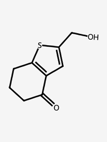 O=C1CCCc2sc(CO)cc21